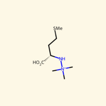 CSCC[C@H](N[N+](C)(C)C)C(=O)O